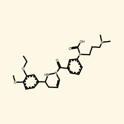 CCOc1cc(C2CC=CN(C(=O)c3cccc(N(CCCN(C)C)C(=O)O)c3)N2)ccc1OC